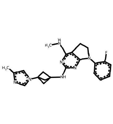 CNc1nc(NC23CC(n4cnc(C)c4)(C2)C3)nc2c1CCN2c1ccccc1F